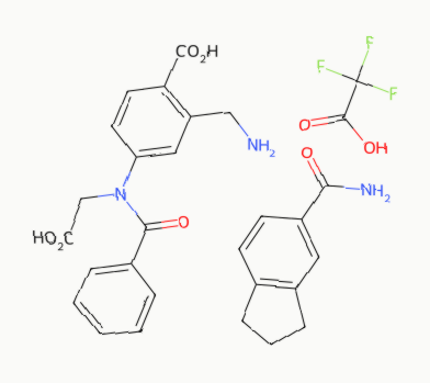 NC(=O)c1ccc2c(c1)CCC2.NCc1cc(N(CC(=O)O)C(=O)c2ccccc2)ccc1C(=O)O.O=C(O)C(F)(F)F